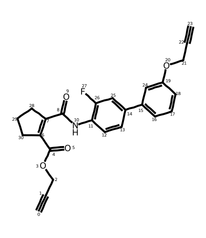 C#CCOC(=O)C1=C(C(=O)Nc2ccc(-c3cccc(OCC#C)c3)cc2F)CCC1